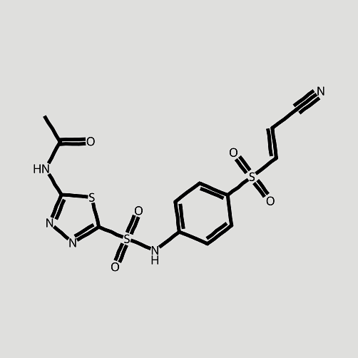 CC(=O)Nc1nnc(S(=O)(=O)Nc2ccc(S(=O)(=O)C=CC#N)cc2)s1